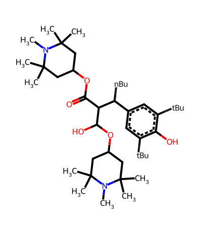 CCCCC(c1cc(C(C)(C)C)c(O)c(C(C)(C)C)c1)C(C(=O)OC1CC(C)(C)N(C)C(C)(C)C1)C(O)OC1CC(C)(C)N(C)C(C)(C)C1